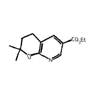 CCOC(=O)c1cnc2c(c1)CCC(C)(C)O2